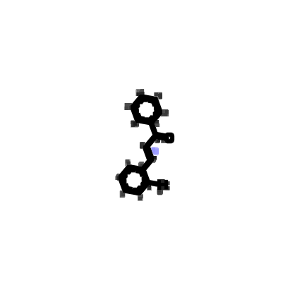 CCc1ccccc1/C=C/C(=O)c1ccccc1